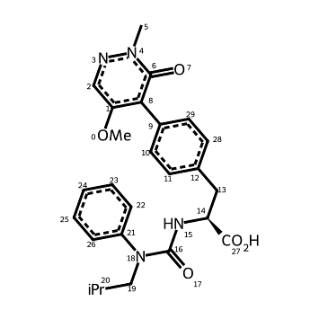 COc1cnn(C)c(=O)c1-c1ccc(C[C@H](NC(=O)N(CC(C)C)c2ccccc2)C(=O)O)cc1